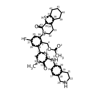 CC(=O)OCc1c(-c2cn(C)c(=O)c(Nc3ccc4c(c3)CCNC4)n2)cc(F)cc1N1CCc2c(sc3c2CCCC3)C1=O